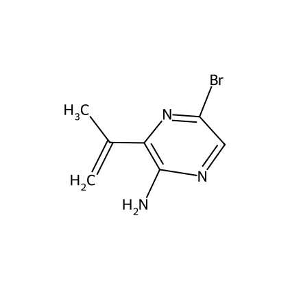 C=C(C)c1nc(Br)cnc1N